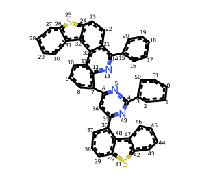 c1ccc(-c2nc(-c3cccc4c3nc(-c3ccccc3)c3ccc5sc6ccccc6c5c34)cc(-c3cccc4sc5ccccc5c34)n2)cc1